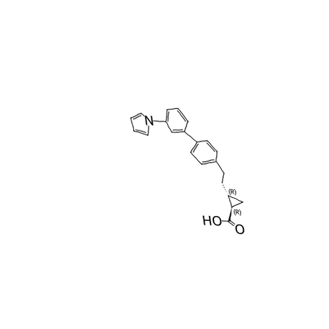 O=C(O)[C@@H]1C[C@H]1CCc1ccc(-c2cccc(-n3cccc3)c2)cc1